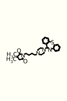 CC1(C)CC(=O)N(CCCCN2CCN(C3=Nc4ccccc4Sc4ccccc43)CC2)C1=O